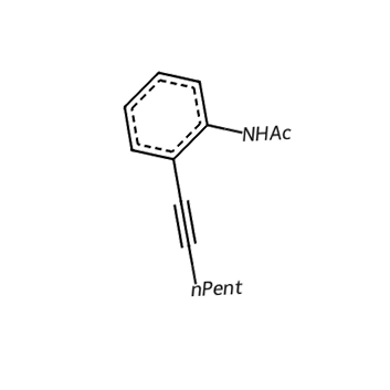 CCCCCC#Cc1ccccc1NC(C)=O